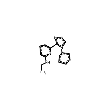 CCNc1cccc(-c2nncn2-c2cccnc2)n1